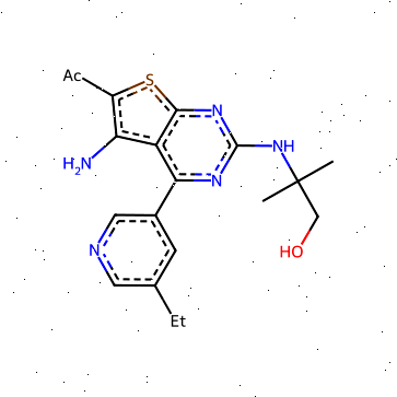 CCc1cncc(-c2nc(NC(C)(C)CO)nc3sc(C(C)=O)c(N)c23)c1